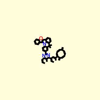 C=c1ccccc(=C)c(/C(C)=C/C(=C\C)c2nc(-c3ccc4c(c3)C(C)(C)c3cccc5c6oc7ccccc7c6n-4c35)nc(/C=C\C)c2C)ccc1